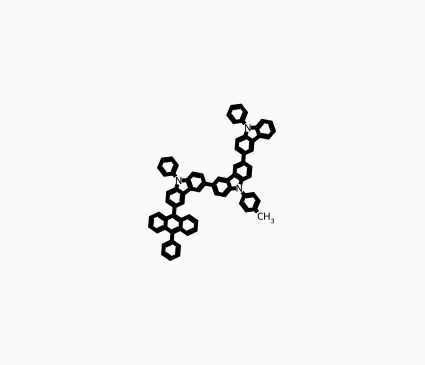 Cc1ccc(-n2c3ccc(-c4ccc5c(c4)c4ccccc4n5-c4ccccc4)cc3c3cc(-c4ccc5c(c4)c4cc(-c6c7ccccc7c(-c7ccccc7)c7ccccc67)ccc4n5-c4ccccc4)ccc32)cc1